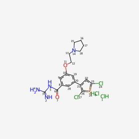 Cl.Cl.N=C(N)NC(=O)c1cc(OCCN2CCCC2)cc(-c2cc(Cl)sc2Cl)c1